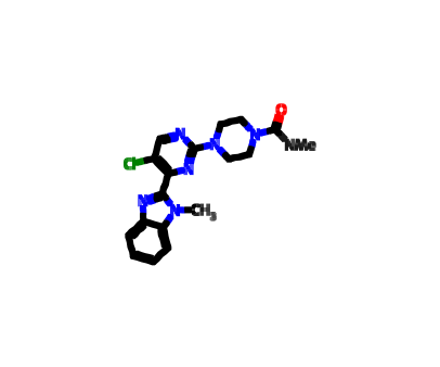 CNC(=O)N1CCN(c2ncc(Cl)c(-c3nc4ccccc4n3C)n2)CC1